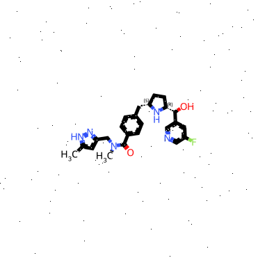 Cc1cc(CN(C)C(=O)c2ccc(C[C@@H]3CC[C@H](C(O)c4cncc(F)c4)N3)cc2)n[nH]1